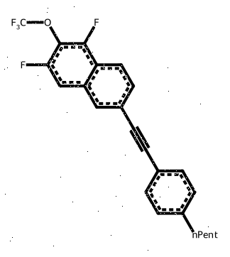 CCCCCc1ccc(C#Cc2ccc3c(F)c(OC(F)(F)F)c(F)cc3c2)cc1